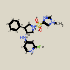 Cn1cnc(S(=O)(=O)N2C[C@H](Nc3ccnc(F)c3)[C@@H](c3ccccc3)C2)c1